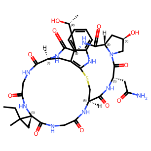 CCC1(C)C[C@]12NC(=O)CNC(=O)[C@@H]1Cc3c([nH]c4ccccc34)SC[C@H](NC(=O)CNC2=O)C(=O)N[C@@H](CC(N)=O)C(=O)N2C[C@H](O)C[C@H]2C(=O)N[C@@H]([C@@H](C)O)C(=O)N1